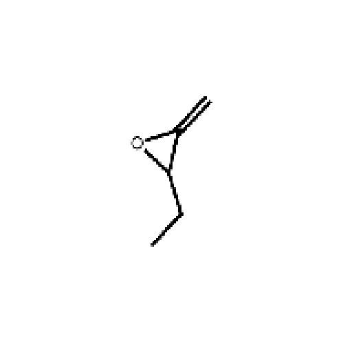 C=C1OC1CC